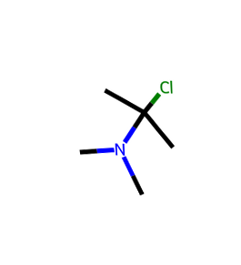 CN(C)C(C)(C)Cl